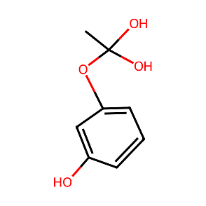 CC(O)(O)Oc1cccc(O)c1